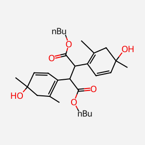 CCCCOC(=O)C(C1=C(C)CC(C)(O)C=C1)C(C(=O)OCCCC)C1=C(C)CC(C)(O)C=C1